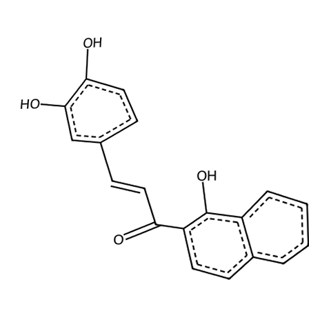 O=C(C=Cc1ccc(O)c(O)c1)c1ccc2ccccc2c1O